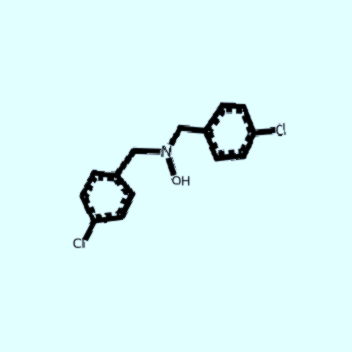 ON(Cc1ccc(Cl)cc1)Cc1ccc(Cl)cc1